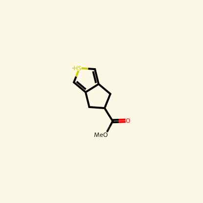 COC(=O)C1CC2=C[SH]C=C2C1